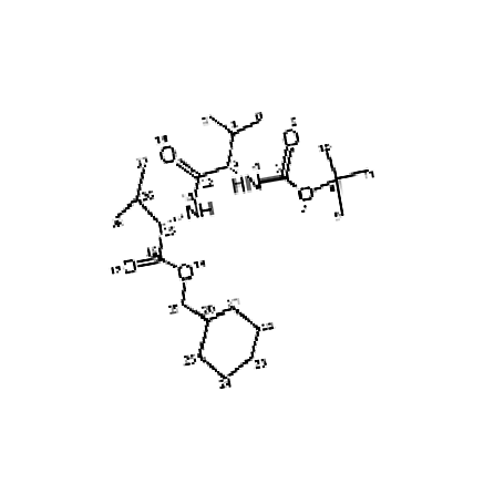 CC(C)[C@H](NC(=O)OC(C)(C)C)C(=O)N[C@H](C(=O)OCC1CCCCC1)C(C)C